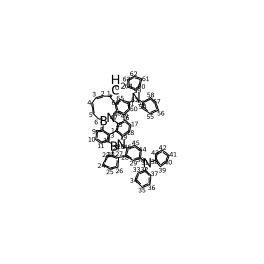 C=C1/C=C\C=C/CB2c3cccc4c3-c3c(cccc3N3B4c4ccccc4-c4cc(N(c5ccccc5)c5ccccc5)ccc43)N2c2ccc(N(c3ccccc3)c3ccccc3)cc21